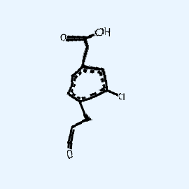 O=CCc1ccc(C(=O)O)cc1Cl